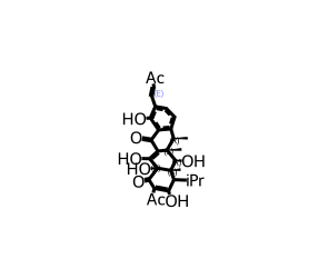 CC(=O)/C=C/c1ccc2c(c1O)C(=O)C1=C(O)[C@@]3(O)C(=O)C(C(C)=O)=C(O)C(C(C)C)[C@@]3(C)[C@H](O)[C@@]1(C)[C@@H]2C